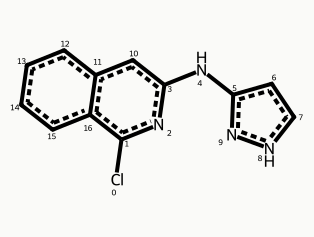 Clc1nc(Nc2cc[nH]n2)cc2ccccc12